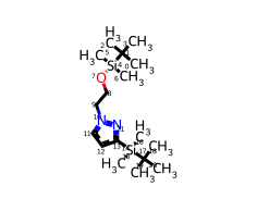 CC(C)(C)[Si](C)(C)OCCn1ccc([Si](C)(C)C(C)(C)C)n1